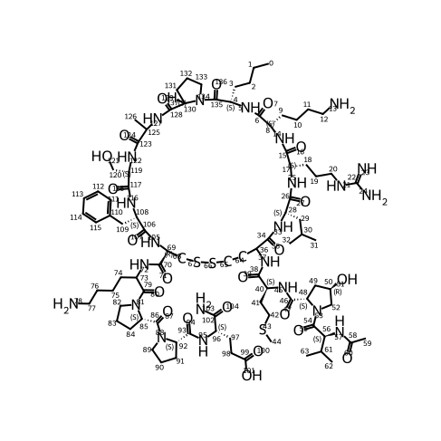 CCCC[C@@H]1NC(=O)[C@H](CCCCN)NC(=O)[C@H](CCCNC(=N)N)NC(=O)[C@H](CC(C)C)NC(=O)C(NC(=O)[C@H](CCSC)NC(=O)[C@@H]2C[C@@H](O)CN2C(=O)[C@@H](NC(C)=O)C(C)C)CCSSC[C@@H](C(=O)NC(CCCCN)C(=O)N2CCC[C@H]2C(=O)N2CCC[C@H]2C(=O)N[C@@H](CCC(=O)O)C(N)=O)NC(=O)[C@H](Cc2ccccc2)NC(=O)[C@H](CO)NC(=O)C(C)NC(=O)[C@@H]2CCCN2C1=O